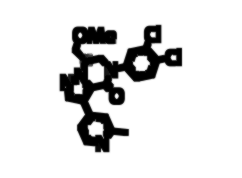 COC[C@H]1CN(c2ccc(Cl)c(Cl)c2)C(=O)c2c(-c3ccnc(C)c3)cnn21